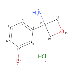 Cl.NC1(c2cccc(Br)c2)COC1